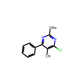 CSc1nc(Cl)c(C#N)c(-c2ccccc2)n1